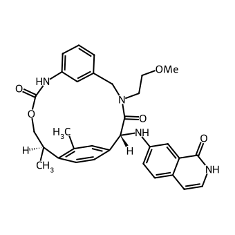 COCCN1Cc2cccc(c2)NC(=O)OC[C@H](C)c2ccc(cc2C)[C@@H](Nc2ccc3cc[nH]c(=O)c3c2)C1=O